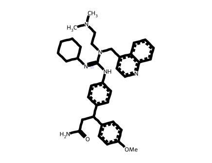 COc1ccc(C(CC(N)=O)c2ccc(N/C(=N/C3CCCCC3)N(CCN(C)C)Cc3ccnc4ccccc34)cc2)cc1